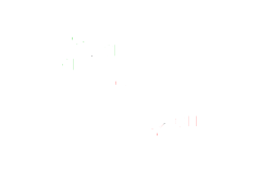 O=C(O)CCCOCCC(Cl)(Cl)Cl